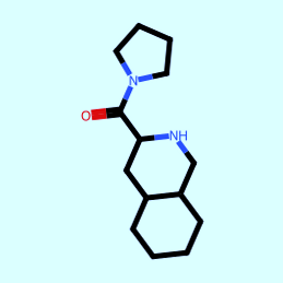 O=C(C1CC2CCCCC2CN1)N1CCCC1